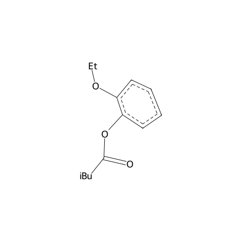 CCOc1ccccc1OC(=O)C(C)CC